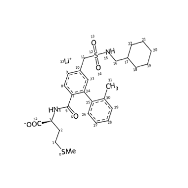 CSCC[C@H](NC(=O)c1ccc(CS(=O)(=O)NCC2CCCCC2)cc1-c1ccccc1C)C(=O)[O-].[Li+]